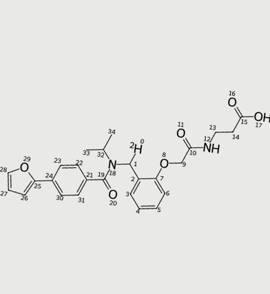 [2H]C(c1ccccc1OCC(=O)NCCC(=O)O)N(C(=O)c1ccc(-c2ccco2)cc1)C(C)C